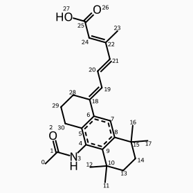 CC(=O)Nc1c2c(cc3c1C(C)(C)CCC3(C)C)C(=CC=CC(C)=CC(=O)O)CCC2